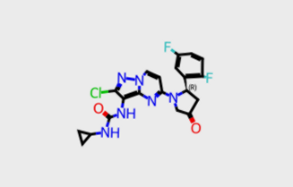 O=C1C[C@H](c2cc(F)ccc2F)N(c2ccn3nc(Cl)c(NC(=O)NC4CC4)c3n2)C1